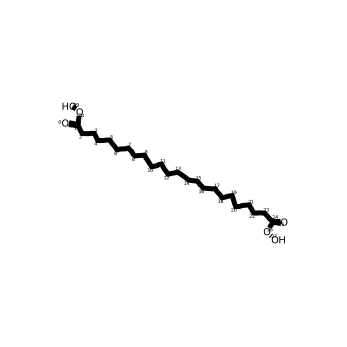 O=C(CCCCCCCCCCCCCCCCCCCCCCC(=O)OO)OO